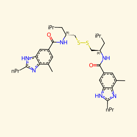 CCCc1nc2c(C)cc(C(=O)N[C@@H](CSSC[C@@H](CC(C)C)NC(=O)c3cc(C)c4nc(CCC)[nH]c4c3)CC(C)C)cc2[nH]1